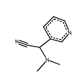 CN(C)C(C#N)c1cccnc1